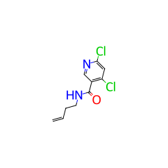 C=CCCNC(=O)c1cnc(Cl)cc1Cl